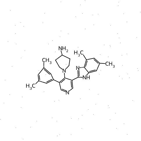 Cc1cc(C)cc(-c2cncc(-c3nc4c(C)cc(C)cc4[nH]3)c2N2CCC(N)CC2)c1